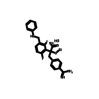 CCOC(Cc1ccc(C(=N)N)cc1)(C(N)=O)c1c(F)ccc(CNc2ccccc2)c1F.Cl